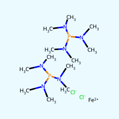 CN(C)P(N(C)C)N(C)C.CN(C)P(N(C)C)N(C)C.[Cl-].[Cl-].[Fe+2]